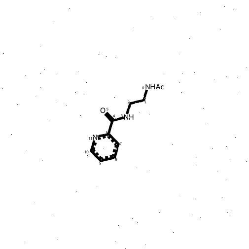 CC(=O)NCCNC(=O)c1ccccn1